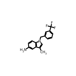 Cc1cn(Cc2cccc(C(F)(F)F)c2)c2ccc(N)cc12